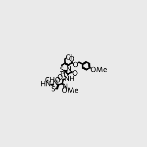 CON=C(C(=O)NC1C(=O)N2C(C(=O)OCc3ccc(OC)cc3)=C(CCl)CS[C@@H]12)c1csc(NC=O)n1